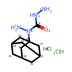 Cl.Cl.NNC(=O)N(N)C12CC3CC(CC(C3)C1)C2